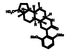 COc1cccc(OC)c1C1C[C@@]2(C)[C@@H](C[C@H](C)[C@@H]3[C@@H]2CC[C@]2(C)[C@@H](C(=O)O)CC[C@@H]32)NC1=O